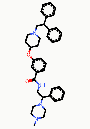 CN1CCN(C(CNC(=O)c2cccc(OC3CCN(CC(c4ccccc4)c4ccccc4)CC3)c2)c2ccccc2)CC1